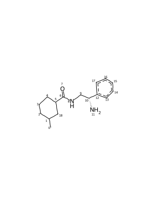 CC1CCCC(C(=O)NC[C@@H](N)c2ccccc2)C1